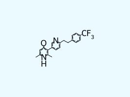 Cc1cc(=O)c(-c2ccc(CCc3ccc(C(F)(F)F)cc3)nc2)c(C)[nH]1